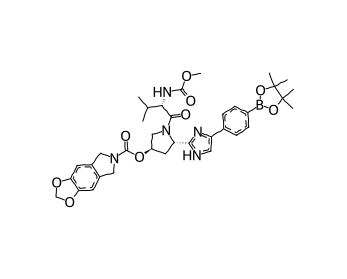 COC(=O)N[C@H](C(=O)N1C[C@H](OC(=O)N2Cc3cc4c(cc3C2)OCO4)C[C@H]1c1nc(-c2ccc(B3OC(C)(C)C(C)(C)O3)cc2)c[nH]1)C(C)C